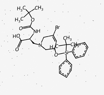 CC(C)(C)OC(=O)N[C@@H](CN1CC(Br)=CC(O[Si](c2ccccc2)(c2ccccc2)C(C)(C)C)C1)C(=O)O